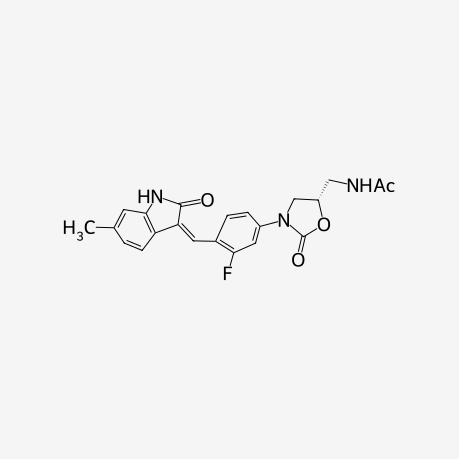 CC(=O)NC[C@H]1CN(c2ccc(/C=C3\C(=O)Nc4cc(C)ccc43)c(F)c2)C(=O)O1